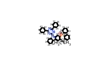 C[Si]1(C)c2ccccc2P(=O)(c2ccccc2)c2cc3c(cc21)c1ccccc1n3-c1nc(-c2ccccc2)nc(-c2ccccc2)n1